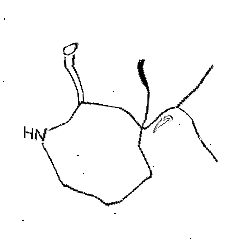 CC(C)[C@]1(C)CCCNC1=O